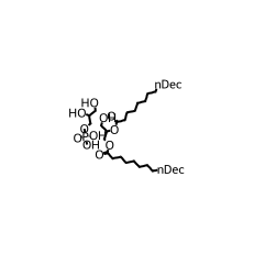 CCCCCCCCCCCCCCCCCC(=O)OCC(CO)OC(=O)CCCCCCCCCCCCCCCCC.O=P(O)(O)OCC(O)CO